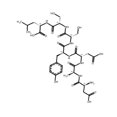 CC(C)C[C@H](NC(=O)[C@H](CO)NC(=O)[C@H](CO)NC(=O)[C@H](Cc1ccc(O)cc1)NC(=O)[C@H](CC(=O)O)NC(=O)[C@H](C)NC(=O)[C@@H](N)CC(=O)O)C(=O)O